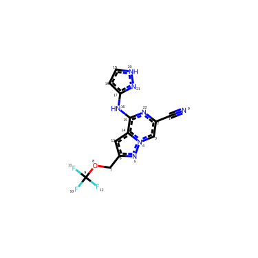 N#Cc1cn2nc(COC(F)(F)F)cc2c(Nc2cc[nH]n2)n1